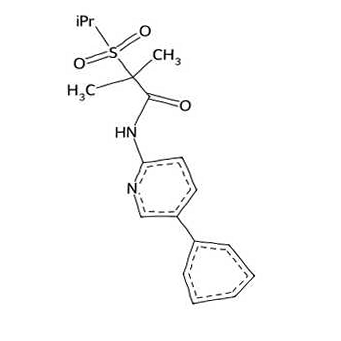 CC(C)S(=O)(=O)C(C)(C)C(=O)Nc1ccc(-c2ccccc2)cn1